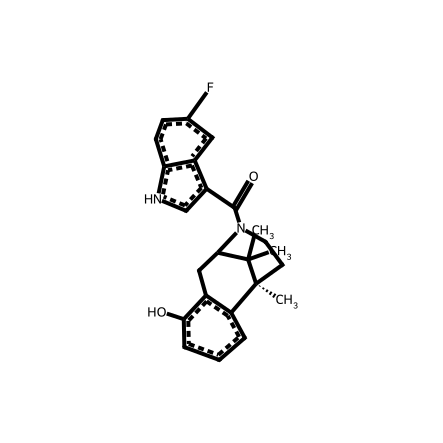 CC1(C)C2Cc3c(O)cccc3[C@]1(C)CCN2C(=O)c1c[nH]c2ccc(F)cc12